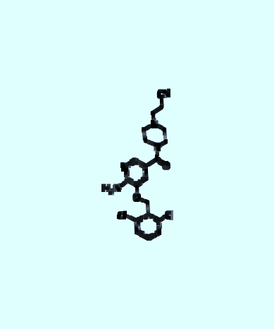 N#CCCN1CCN(C(=O)c2cnc(N)c(OCc3c(Cl)cccc3Cl)c2)CC1